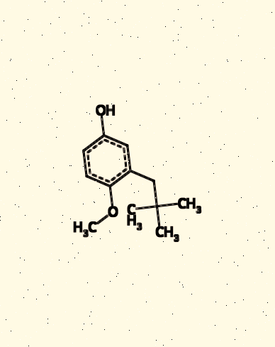 COc1ccc(O)cc1CC(C)(C)C